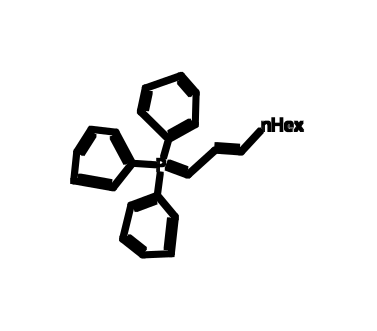 CCCCCCC=CC=P(c1ccccc1)(c1ccccc1)c1ccccc1